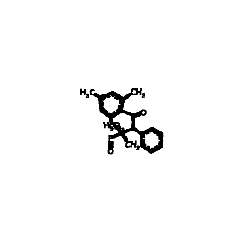 Cc1cc(C)c(C(=O)C(c2ccccc2)C(C)(C)P=O)c(C)c1